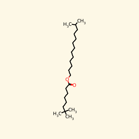 CC(C)CCCCCCCCCCCOC(=O)CCCCCC(C)(C)C